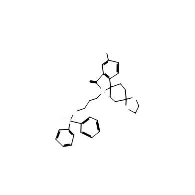 C[C@@H](CO[Si](c1ccccc1)(c1ccccc1)C(C)(C)C)CN1C(=O)c2cc(F)ccc2C12CCC1(CC2)OCCO1